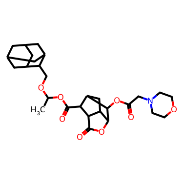 CC(OCC1C2CC3CC(C2)CC1C3)OC(=O)C1C2CC3C(OC(=O)C31)C2OC(=O)CN1CCOCC1